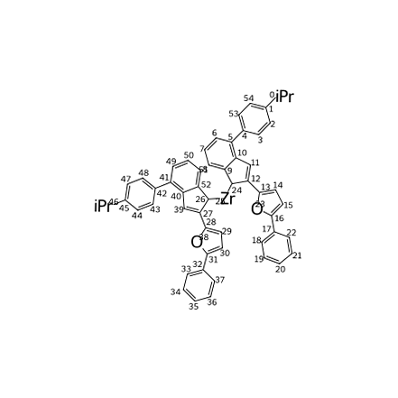 CC(C)c1ccc(-c2cccc3c2C=C(c2ccc(-c4ccccc4)o2)[CH]3[Zr][CH]2C(c3ccc(-c4ccccc4)o3)=Cc3c(-c4ccc(C(C)C)cc4)cccc32)cc1